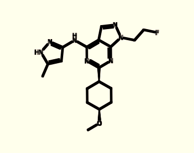 CO[C@H]1CC[C@@H](c2nc(Nc3cc(C)[nH]n3)c3cnn(CCF)c3n2)CC1